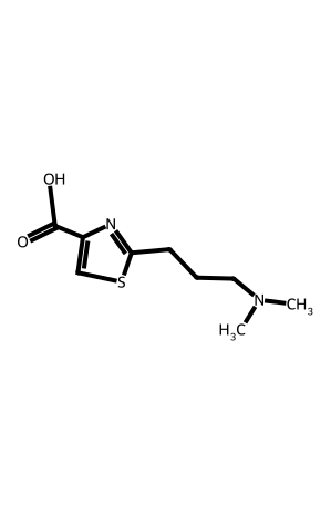 CN(C)CCCc1nc(C(=O)O)cs1